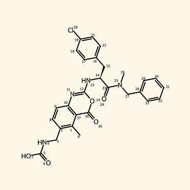 Cc1c(CNC(=O)O)ccc2nc(N[C@@H](Cc3ccc(Cl)cc3)C(=O)N(C)Cc3ccccc3)oc(=O)c12